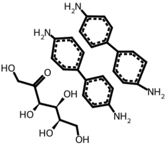 Nc1ccc(-c2ccc(N)cc2)cc1.Nc1ccc(-c2ccc(N)cc2)cc1.O=C(CO)[C@H](O)[C@@H](O)[C@H](O)CO